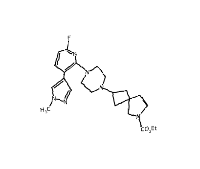 CCOC(=O)N1CCC2(CC(N3CCN(c4nc(F)ccc4-c4cnn(C)c4)CC3)C2)C1